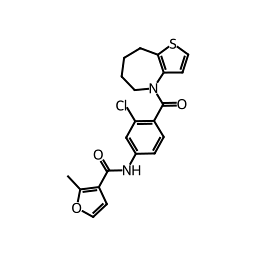 Cc1occc1C(=O)Nc1ccc(C(=O)N2CCCCc3sccc32)c(Cl)c1